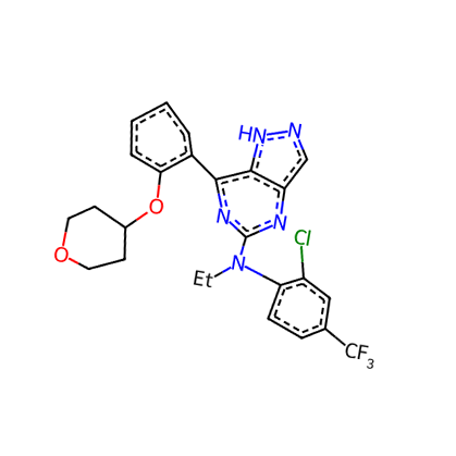 CCN(c1nc(-c2ccccc2OC2CCOCC2)c2[nH]ncc2n1)c1ccc(C(F)(F)F)cc1Cl